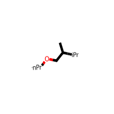 CC[CH]OCC(C)C(C)C